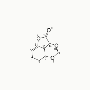 O=C1OC2=CCCC3OCOC1C23